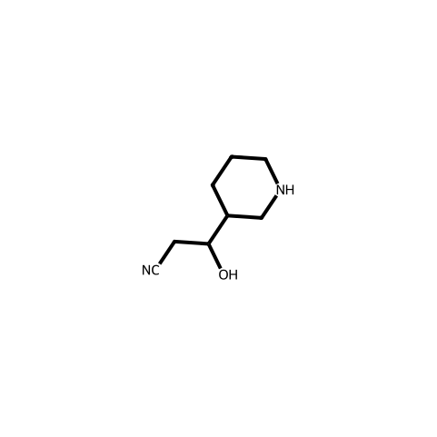 N#CCC(O)C1CCCNC1